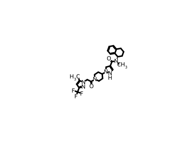 Cc1cc(C(F)(F)F)nn1CC(=O)N1CCC(N2CC(C(=O)N(C)[C@@H]3CCCc4ccccc43)=CN2)CC1